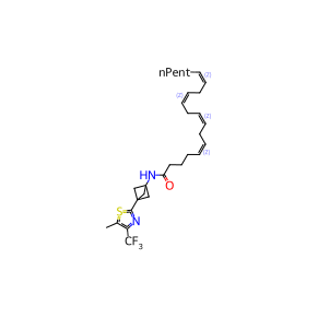 CCCCC/C=C\C/C=C\C/C=C\C/C=C\CCCC(=O)NC12CC(c3nc(C(F)(F)F)c(C)s3)(C1)C2